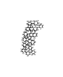 c1ccc(-c2ccc(N(c3cc4c(c5ccccc35)-c3c(cc(N(c5ccc(-c6ccccc6)cc5)c5cccc6c5oc5c(C7CCCCC7)cccc56)c5ccccc35)C4(c3ccccc3)c3ccccc3)c3cccc4c3oc3c(C5CCCCC5)cccc34)cc2)cc1